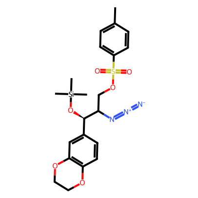 Cc1ccc(S(=O)(=O)OCC(N=[N+]=[N-])[C@H](O[Si](C)(C)C)c2ccc3c(c2)OCCO3)cc1